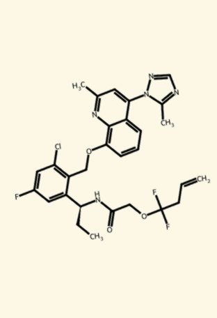 C=CCC(F)(F)OCC(=O)N[C@@H](CC)c1cc(F)cc(Cl)c1COc1cccc2c(-n3ncnc3C)cc(C)nc12